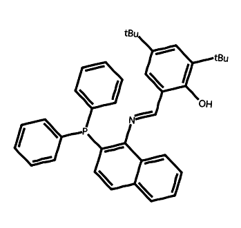 CC(C)(C)c1cc(/C=N/c2c(P(c3ccccc3)c3ccccc3)ccc3ccccc23)c(O)c(C(C)(C)C)c1